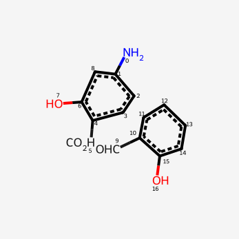 Nc1ccc(C(=O)O)c(O)c1.O=Cc1ccccc1O